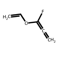 C=C=C(F)OC=C